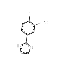 COc1cc(-c2ncc[nH]2)ccc1N